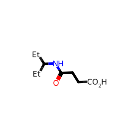 CCC(CC)NC(=O)CCC(=O)O